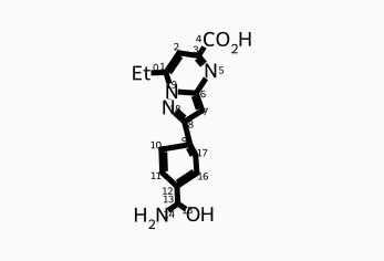 CCc1cc(C(=O)O)nc2cc(-c3ccc(C(N)O)cc3)nn12